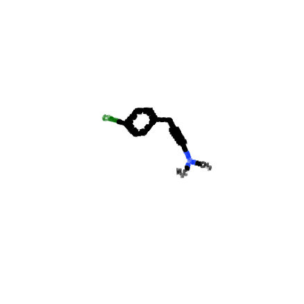 CN(C)C#CCc1ccc(Cl)cc1